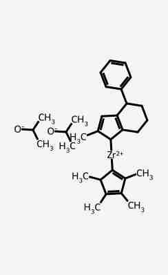 CC(C)[O-].CC(C)[O-].CC1=CC2=C(CCCC2c2ccccc2)[CH]1[Zr+2][C]1=C(C)C(C)=C(C)C1C